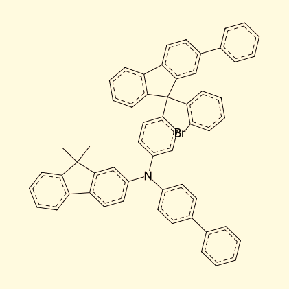 CC1(C)c2ccccc2-c2ccc(N(c3ccc(-c4ccccc4)cc3)c3ccc(C4(c5ccccc5Br)c5ccccc5-c5ccc(-c6ccccc6)cc54)cc3)cc21